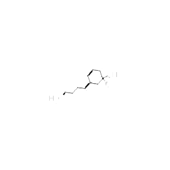 C=CCCC=C1C=CCC(C)(C)C1